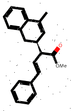 COC(=O)C(C=Cc1ccccc1)[C@@H]1C=C(C)c2ccccc2C1